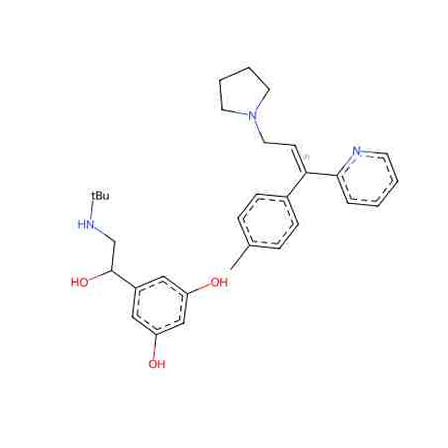 CC(C)(C)NCC(O)c1cc(O)cc(O)c1.Cc1ccc(/C(=C\CN2CCCC2)c2ccccn2)cc1